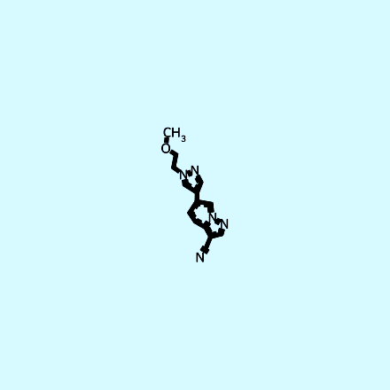 COCCn1cc(-c2ccc3c(C#N)cnn3c2)cn1